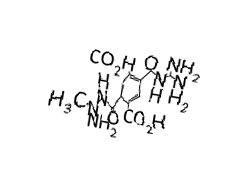 CN(N)NC(=O)c1cc(C(=O)O)c(C(=O)NC(N)N)cc1C(=O)O